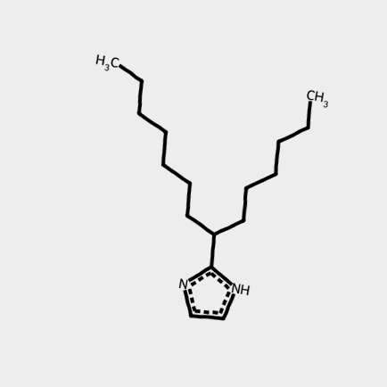 CCCCCCCC(CCCCCC)c1ncc[nH]1